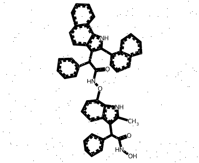 Cc1[nH]c2c(ONC(=O)C(c3ccccc3)c3c(-c4cccc5ccccc45)[nH]c4c3ccc3ccccc34)cccc2c1C(C(=O)NO)c1ccccc1